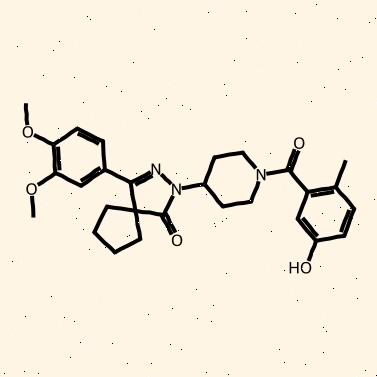 COc1ccc(C2=NN(C3CCN(C(=O)c4cc(O)ccc4C)CC3)C(=O)C23CCCC3)cc1OC